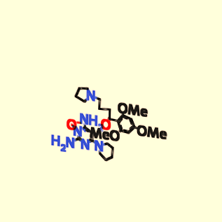 COc1cc(OC)c(C(=O)CCCN2CCCC2)c(OC)c1.Nc1cc(N2CCCCC2)nc(N)[n+]1[O-]